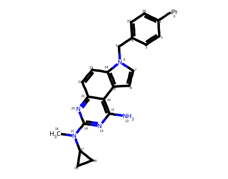 CC(C)c1ccc(Cn2ccc3c4c(N)nc(N(C)C5CC5)nc4ccc32)cc1